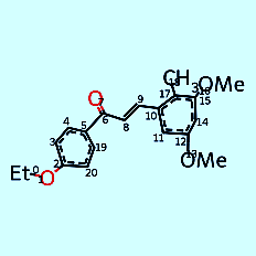 CCOc1ccc(C(=O)/C=C/c2cc(OC)cc(OC)c2C)cc1